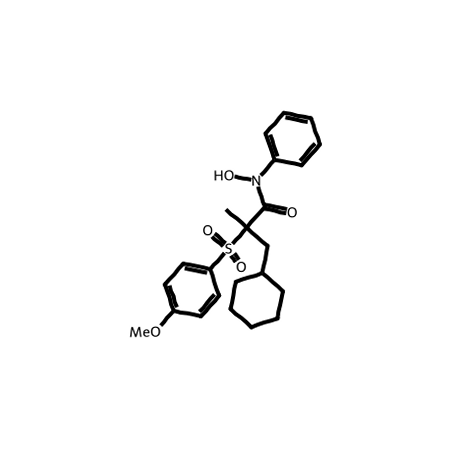 COc1ccc(S(=O)(=O)C(C)(CC2CCCCC2)C(=O)N(O)c2ccccc2)cc1